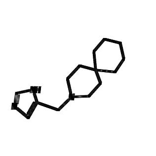 c1ncc(CN2CCC3(CCCCC3)CC2)[nH]1